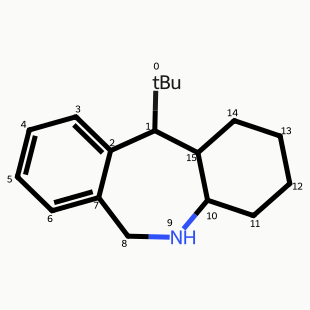 CC(C)(C)C1c2ccccc2CNC2CCCCC21